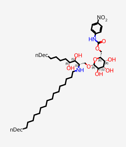 CCCCCCCCCCCCCCCCCCCCCCCCCCN[C@@H](CO[C@@H]1O[C@H](COC(=O)Nc2ccc([N+](=O)[O-])cc2)[C@H](O)[C@H](O)[C@H]1O)[C@H](O)[C@H](O)CCCCCCCCCCCCCC